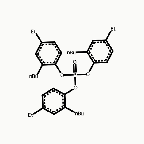 CCCCc1cc(CC)ccc1OP(=O)(Oc1ccc(CC)cc1CCCC)Oc1ccc(CC)cc1CCCC